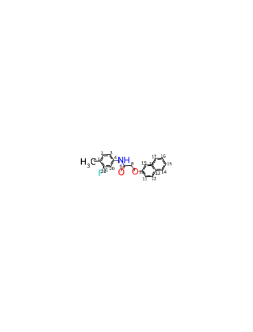 Cc1ccc(NC(=O)COc2ccc3ccccc3c2)cc1F